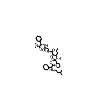 CCCC(NC(=O)C1CCCN1C(=O)[C@@H](NCCC(C)C)C1CCCCC1)C(=O)C(=O)NCC(=O)N[C@H](C(=O)N(C)C)c1ccccc1